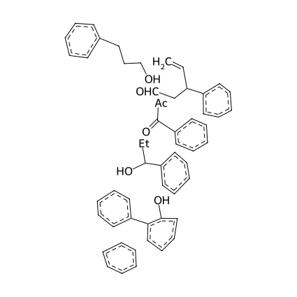 C=CC(CC=O)c1ccccc1.CC(=O)C(=O)c1ccccc1.CCC(O)c1ccccc1.OCCCc1ccccc1.Oc1ccccc1-c1ccccc1.c1ccccc1